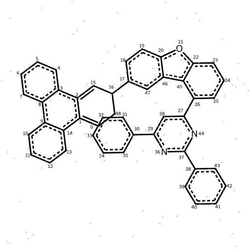 C1=c2c(c3ccccc3c3ccccc23)=CC(c2ccc3oc4cccc(-c5cc(-c6ccccc6)nc(-c6ccccc6)n5)c4c3c2)C1